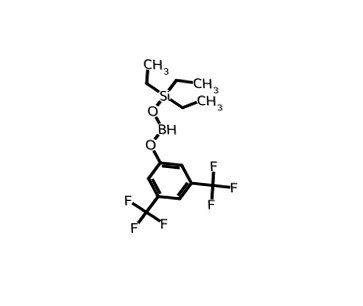 CC[Si](CC)(CC)OBOc1cc(C(F)(F)F)cc(C(F)(F)F)c1